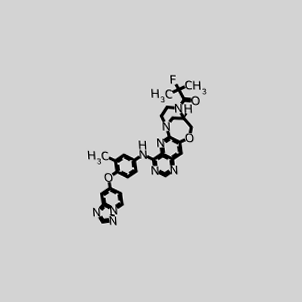 Cc1cc(Nc2ncnc3cc4c(nc23)N2CCN(C(=O)C(C)(C)F)[C@H](CO4)C2)ccc1Oc1ccn2ncnc2c1